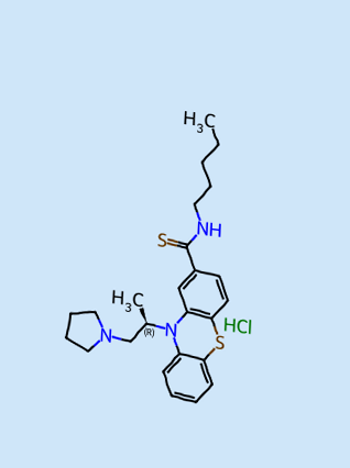 CCCCCNC(=S)c1ccc2c(c1)N([C@H](C)CN1CCCC1)c1ccccc1S2.Cl